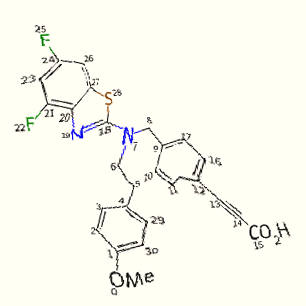 COc1ccc(CCN(Cc2ccc(C#CC(=O)O)cc2)c2nc3c(F)cc(F)cc3s2)cc1